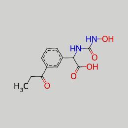 CCC(=O)c1cccc(C(NC(=O)NO)C(=O)O)c1